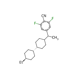 CC[C@H]1CC[C@H](C2CCC(C(C)c3cc(F)c(C#N)c(F)c3)CC2)CC1